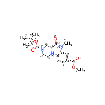 COC(=O)c1ccc2c(c1)N(C)C(=O)C1CN(C(=O)OC(C)(C)C)CCN21